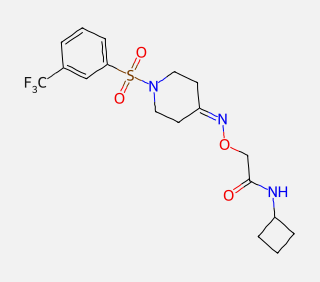 O=C(CON=C1CCN(S(=O)(=O)c2cccc(C(F)(F)F)c2)CC1)NC1CCC1